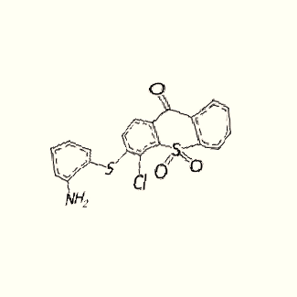 Nc1ccccc1Sc1ccc2c(c1Cl)S(=O)(=O)c1ccccc1C2=O